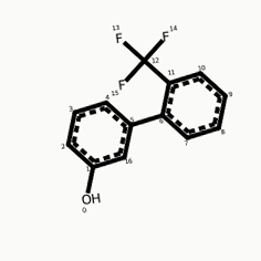 Oc1cccc(-c2ccc[c]c2C(F)(F)F)c1